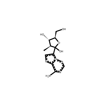 C[C@H]1[C@H](O)[C@@H](CO)OC1(O)c1cnc2c(N)ncnn12